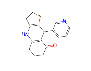 O=C1CCCC2=C1C(c1cccnc1)C1=C(CCS1)N2